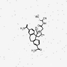 C=C(N)c1ccc2c(c1)CCc1cc(C(N)=O)ccc1C2(C[C@H](C)NCC(=O)NC(C#N)C[C@@H](C)CC)C(N)=O